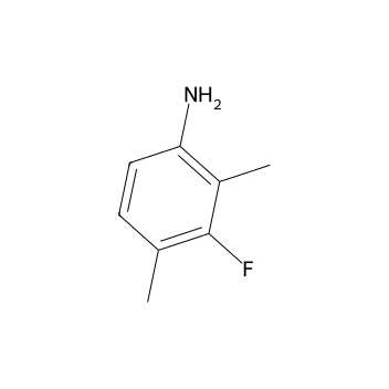 Cc1ccc(N)c(C)c1F